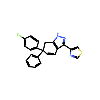 Fc1ccc(C2(c3ccccc3)C=Cc3c(-c4cscn4)n[nH]c3C2)cc1